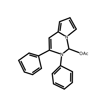 CC(=O)OC1N(c2ccccc2)C(c2ccccc2)=Cc2cccn21